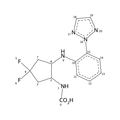 O=C(O)NC1CC(F)(F)CC1Nc1ccccc1-n1nccn1